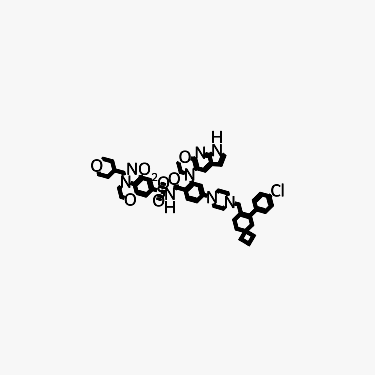 O=C(NS(=O)(=O)c1cc2c(c([N+](=O)[O-])c1)N(CC1CCOCC1)CCO2)c1ccc(N2CCN(CC3=C(c4ccc(Cl)cc4)CC4(CCC4)CC3)CC2)cc1N1CCOc2nc3[nH]ccc3cc21